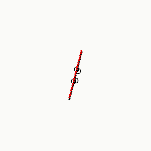 CCCCCCCCCCCCCCCCOC(=O)CCCCCCCC(=O)OCCCCCCCCCCCCCCCC